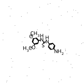 COc1cc(NC(=S)Nc2ccc(N)cc2)cc(OC)c1